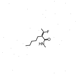 CCCCC/C(C(=O)NC)=C(\C)F